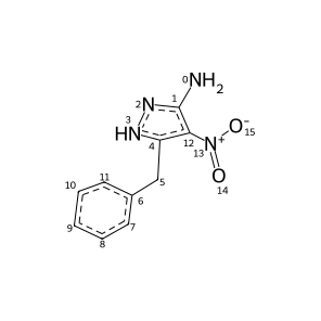 Nc1n[nH]c(Cc2ccccc2)c1[N+](=O)[O-]